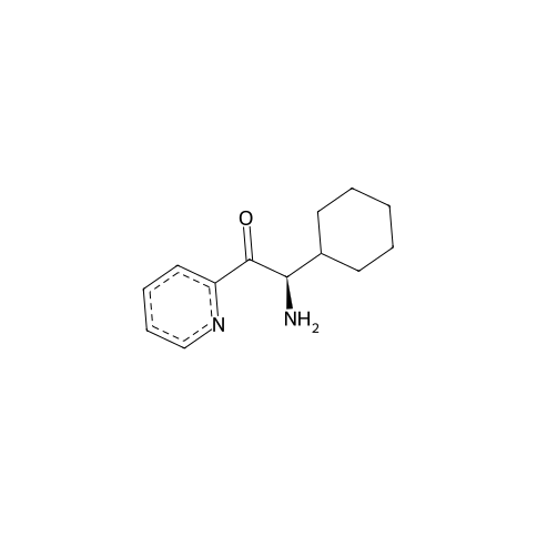 N[C@@H](C(=O)c1ccccn1)C1CCCCC1